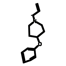 C=C[CH]N1CCC(Oc2ccccc2)CC1